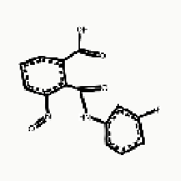 O=Nc1cccc(C(=O)O)c1C(=O)Nc1cccc(F)c1